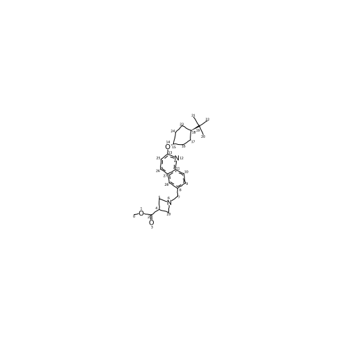 COC(=O)C1CN(Cc2ccc3nc(O[C@H]4CC[C@H](C(C)(C)C)CC4)ccc3c2)C1